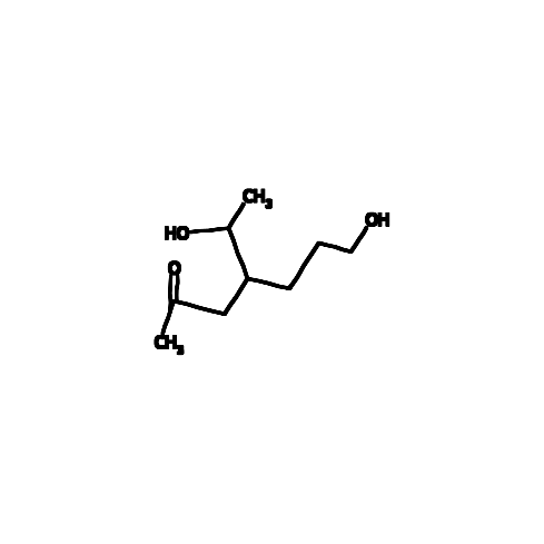 CC(=O)CC(CCCO)C(C)O